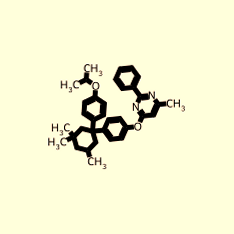 Cc1cc(Oc2ccc(C3(c4ccc(OC(C)C)cc4)CC(C)CC(C)(C)C3)cc2)nc(-c2ccccc2)n1